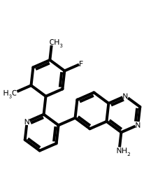 CC1=CC(C)C(c2ncccc2-c2ccc3ncnc(N)c3c2)C=C1F